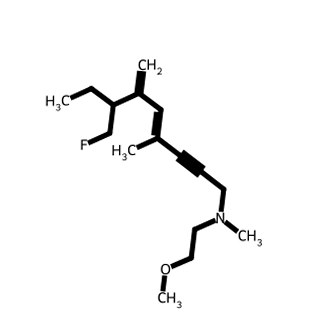 C=C(/C=C(\C)C#CCN(C)CCOC)C(CC)CF